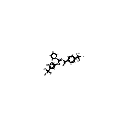 O=C(/N=C(\Nc1cc(C(F)(F)F)[nH]n1)N1CCCC1)c1ccc(C(F)(F)F)cc1